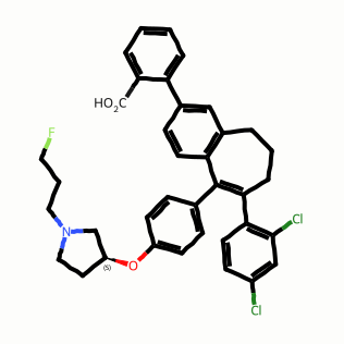 O=C(O)c1ccccc1-c1ccc2c(c1)CCCC(c1ccc(Cl)cc1Cl)=C2c1ccc(O[C@H]2CCN(CCCF)C2)cc1